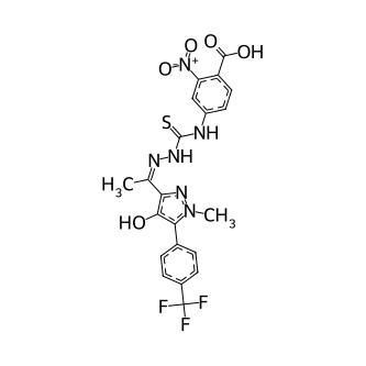 C/C(=N/NC(=S)Nc1ccc(C(=O)O)c([N+](=O)[O-])c1)c1nn(C)c(-c2ccc(C(F)(F)F)cc2)c1O